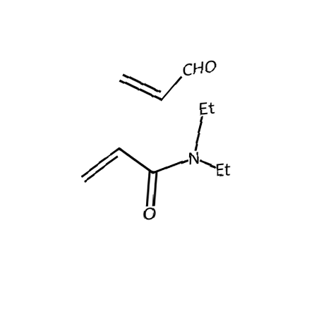 C=CC(=O)N(CC)CC.C=CC=O